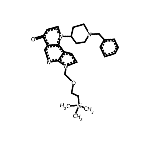 C[Si](C)(C)CCOCn1ccc2c1ncc1c(=O)ccn(C3CCN(Cc4ccccc4)CC3)c12